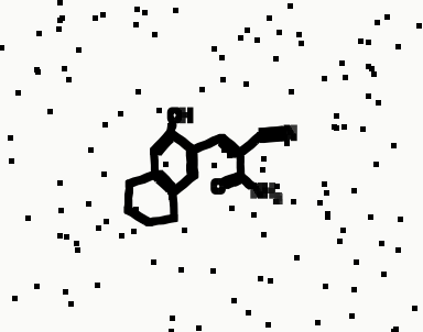 N#CC(=Cc1cc2c(cc1O)CCCC2)C(N)=O